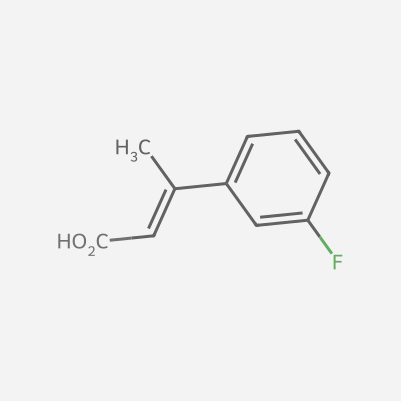 CC(=CC(=O)O)c1cccc(F)c1